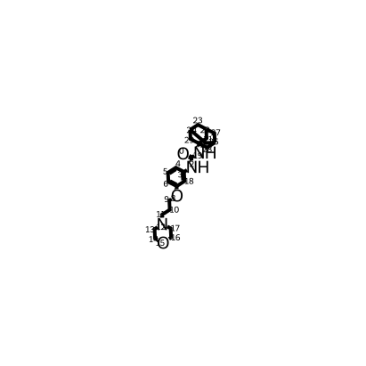 O=C(Nc1cccc(OCCCN2CCOCC2)c1)NC12CC3CC(CC(C3)C1)C2